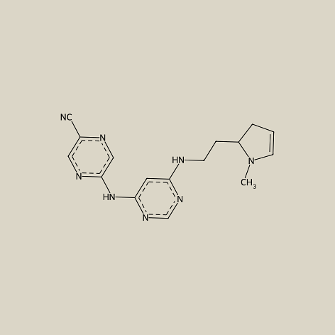 CN1C=CCC1CCNc1cc(Nc2cnc(C#N)cn2)ncn1